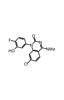 CNc1nc(=O)n(-c2ccc(F)c(O)c2)c2cc(Cl)ccc12